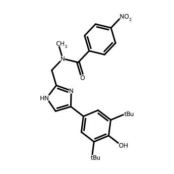 CN(Cc1nc(-c2cc(C(C)(C)C)c(O)c(C(C)(C)C)c2)c[nH]1)C(=O)c1ccc([N+](=O)[O-])cc1